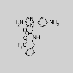 Nc1ccc(-c2ncc(N)c(=O)n2CC(=O)NC(Cc2ccccc2)C(=O)C(F)(F)F)cc1